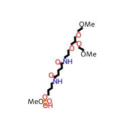 COCCOCC(COCCCNC(=O)CCCC(=O)NCCCCOP(=O)(O)OC)OCCOC